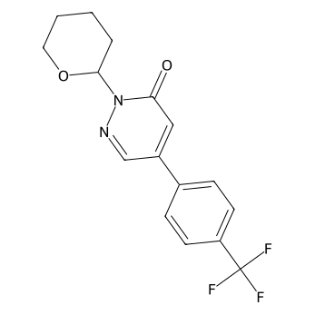 O=c1cc(-c2ccc(C(F)(F)F)cc2)cnn1C1CCCCO1